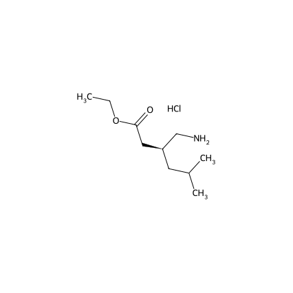 CCOC(=O)C[C@@H](CN)CC(C)C.Cl